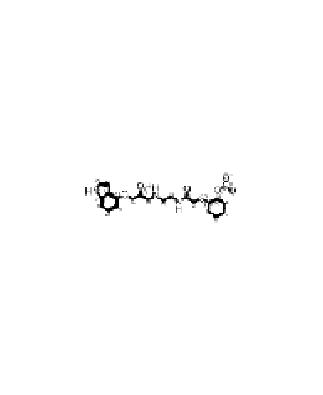 O=C(CS[C@@H]1CCCC[C@H]1O[N+](=O)[O-])NCCNCC(O)COc1cccc2[nH]ccc12